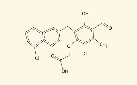 Cc1c(Cl)c(OCC(=O)O)c(Cc2ccc3c(Cl)cccc3c2)c(O)c1C=O